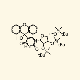 CC(C)(C)[Si](C)(C)OC[C@H]1O[C@@H](n2cc(C3(O)c4ccccc4Oc4ccccc43)c(=O)[nH]c2=O)[C@H](O[Si](C)(C)C(C)(C)C)[C@@H]1O[Si](C)(C)C(C)(C)C